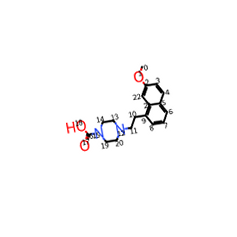 COc1ccc2cccc(CCN3CCN(C(=O)O)CC3)c2c1